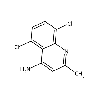 Cc1cc(N)c2c(Cl)ccc(Cl)c2n1